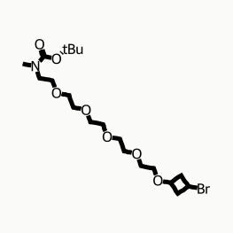 CN(CCOCCOCCOCCOCCOC1CC(Br)C1)C(=O)OC(C)(C)C